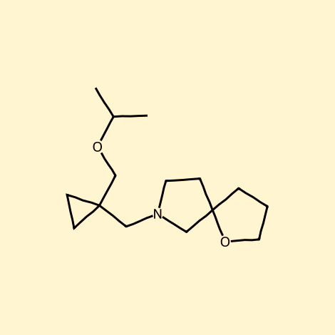 CC(C)OCC1(CN2CCC3(CCCO3)C2)CC1